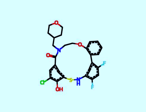 O=C1c2cc(Cl)c(O)c(c2)SNc2cc(c(F)cc2F)-c2ccccc2OCCN1CC1CCOCC1